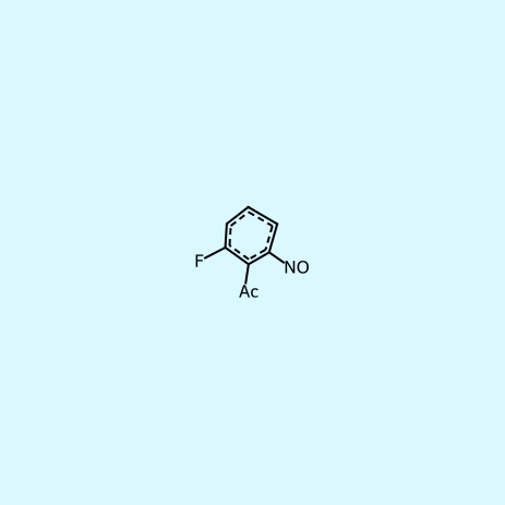 CC(=O)c1c(F)cccc1N=O